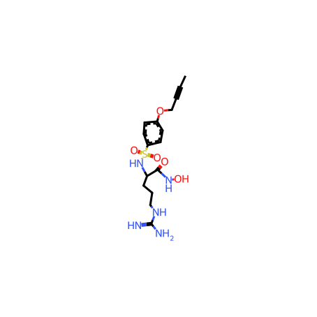 CC#CCOc1ccc(S(=O)(=O)NC(CCCNC(=N)N)C(=O)NO)cc1